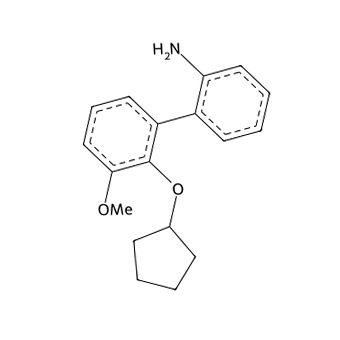 COc1cccc(-c2ccccc2N)c1OC1CCCC1